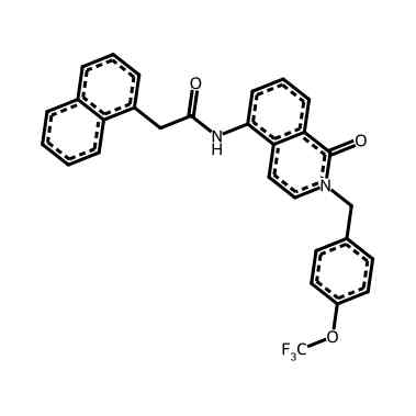 O=C(Cc1cccc2ccccc12)Nc1cccc2c(=O)n(Cc3ccc(OC(F)(F)F)cc3)ccc12